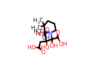 CC1(C)CCCN(C(O)(C(=O)O)C(O)(CC(=O)O)C(=O)O)C1(C)C